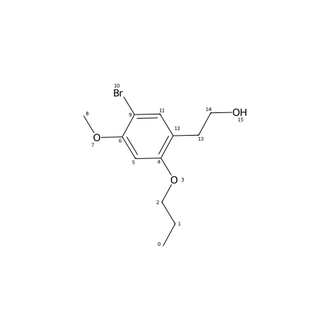 CCCOc1cc(OC)c(Br)cc1CCO